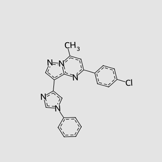 Cc1cc(-c2ccc(Cl)cc2)nc2c(-c3cn(-c4ccccc4)cn3)cnn12